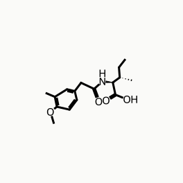 CC[C@H](C)[C@H](NC(=O)Cc1ccc(OC)c(C)c1)C(=O)O